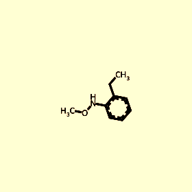 CCc1ccccc1NOC